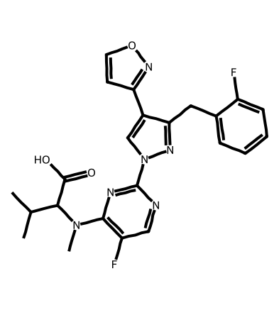 CC(C)C(C(=O)O)N(C)c1nc(-n2cc(-c3ccon3)c(Cc3ccccc3F)n2)ncc1F